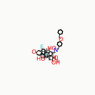 C[C@]12C[C@H](O)[C@@]3(F)[C@@H](C[C@H](F)C4=CC(=O)C=C[C@@]43C)[C@@H]1C[C@@H](CN(O)Cc1ccc(OCc3ccccc3)cc1)[C@@H]2C(=O)CO